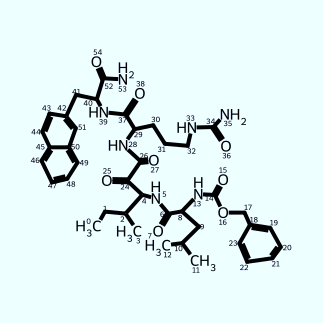 CCC(C)C(NC(=O)C(CC(C)C)NC(=O)OCc1ccccc1)C(=O)C(=O)NC(CCCNC(N)=O)C(=O)NC(Cc1ccc2ccccc2c1)C(N)=O